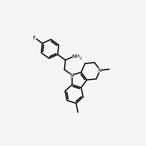 Cc1ccc2c(c1)c1c(n2CC(N)c2ccc(F)cc2)CCN(C)C1